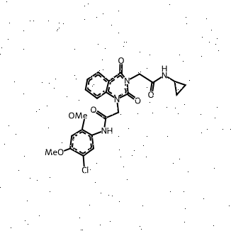 COc1cc(OC)c(NC(=O)Cn2c(=O)n(CC(=O)NC3CC3)c(=O)c3ccccc32)cc1Cl